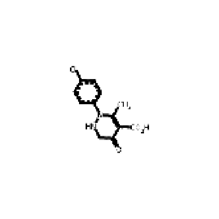 CC1=C(C(=O)O)C(=O)CNN1c1ccc(Cl)cc1